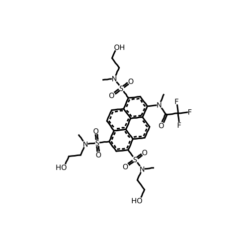 CN(C(=O)C(F)(F)F)c1cc(S(=O)(=O)N(C)CCO)c2ccc3c(S(=O)(=O)N(C)CCO)cc(S(=O)(=O)N(C)CCO)c4ccc1c2c43